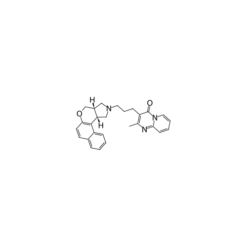 Cc1nc2ccccn2c(=O)c1CCCN1C[C@H]2COc3ccc4ccccc4c3[C@H]2C1